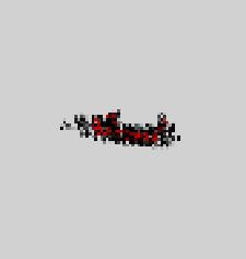 CCC1OC(OC2C(C(=O)NCNCN3C(=O)C=CC3=O)OC(OC3C(O)C(CC)OC(OC4C(C(C)=O)OC(OC5C(O)C(CC)OC(C(C)(C)C)C5NC(C)=O)C(O)C4O)C3NC(C)=O)C(O)C2O)C(NC(C)=O)C(OC2OC(C(C)=O)C(OC3OC(CC)C(O)C(OC4OC(C(=O)NCNCN5C(=O)C=CC5=O)C(OC(C)(C)C)C(O)C4O)C3NC(C)=O)C(O)C2O)C1O